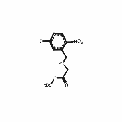 CC(C)(C)OC(=O)CNCc1cc(F)ccc1[N+](=O)[O-]